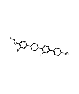 CCCC1CC=C(c2ccc(C3CCC(c4ccc(OCF)c(F)c4)CC3)c(F)c2)CC1